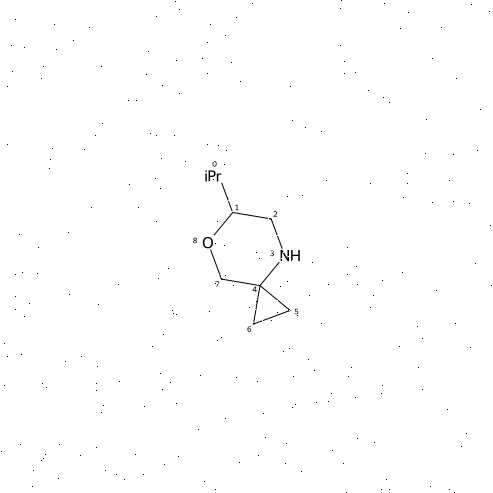 CC(C)C1CNC2(CC2)CO1